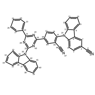 N#Cc1ccc2c(c1)c1ccccc1n2-c1ccc(-c2nc(-c3ccccc3)nc(-n3c4ccccc4c4ccccc43)n2)cc1C#N